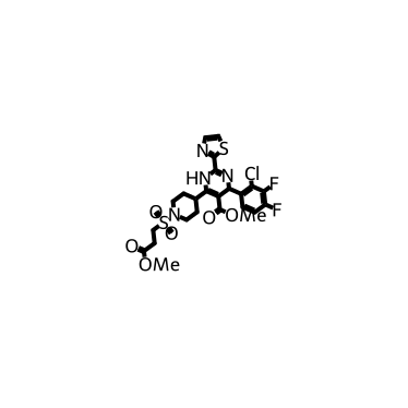 COC(=O)CCS(=O)(=O)N1CCC(C2=C(C(=O)OC)C(c3ccc(F)c(F)c3Cl)N=C(c3nccs3)N2)CC1